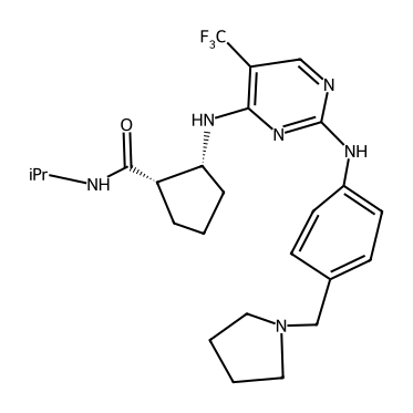 CC(C)NC(=O)[C@H]1CCC[C@H]1Nc1nc(Nc2ccc(CN3CCCC3)cc2)ncc1C(F)(F)F